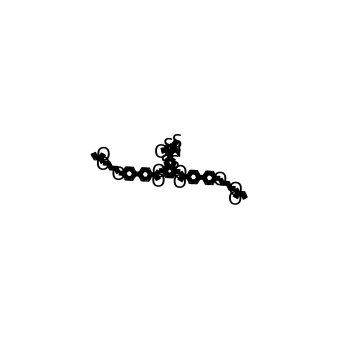 C=CC(=O)OCCCOC1CCC(C2CCC(C(=O)Oc3ccc(OC(=O)C4CCC(C5CCC(OCCCOC(=O)C=C)CC5)CC4)c4c3SC(=C3C(=O)SC(=S)N3C)S4)CC2)CC1